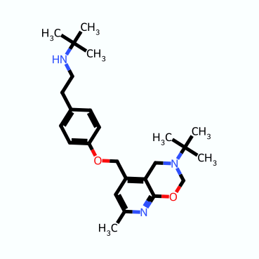 Cc1cc(COc2ccc(CCNC(C)(C)C)cc2)c2c(n1)OCN(C(C)(C)C)C2